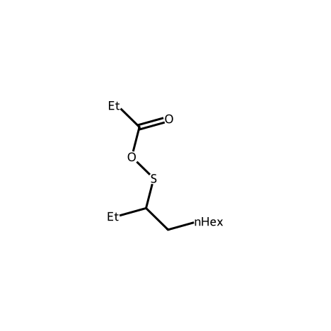 CCCCCCCC(CC)SOC(=O)CC